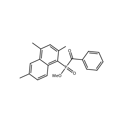 COP(=O)(C(=O)c1ccccc1)c1c(C)cc(C)c2cc(C)ccc12